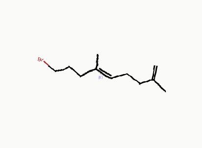 C=C(C)CC/C=C(\C)CCCBr